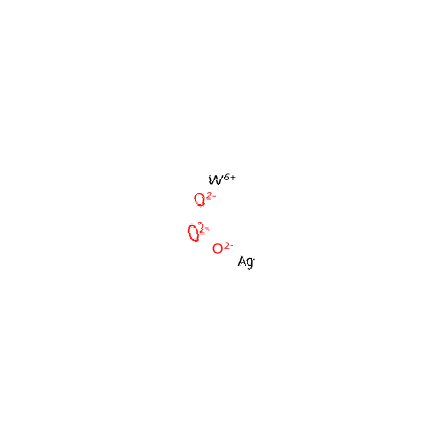 [Ag].[O-2].[O-2].[O-2].[W+6]